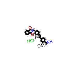 COC(=N)c1ccc(CCc2ccc(CN3C(=O)c4ccccc4C3=O)cc2[N+](=O)[O-])cc1.Cl